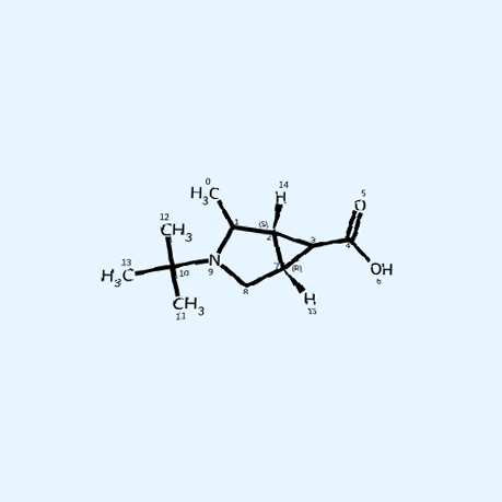 CC1[C@@H]2C(C(=O)O)[C@@H]2CN1C(C)(C)C